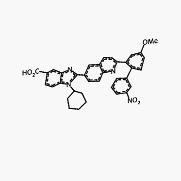 COc1ccc(-c2cccc([N+](=O)[O-])c2)c(-c2ccc3cc(-c4nc5cc(C(=O)O)ccc5n4C4CCCCC4)ccc3n2)c1